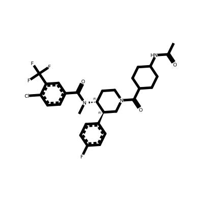 CC(=O)NC1CCC(C(=O)N2CC[C@@H](N(C)C(=O)c3ccc(Cl)c(C(F)(F)F)c3)[C@H](c3ccc(F)cc3)C2)CC1